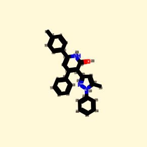 Cc1ccc(-c2cc(-c3ccccc3)c(-c3cc(C)n(-c4ccccc4)n3)c(=O)[nH]2)cc1